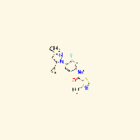 Cc1cc(C2CC2)n(-c2ccc(NC(=O)c3scnc3C)cc2F)n1